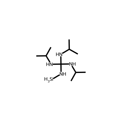 CC(C)NC(N[SiH3])(NC(C)C)NC(C)C